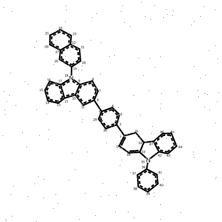 C1=C(c2ccc(-c3ccc4c(c3)c3ccccc3n4-c3ccc4ccccc4c3)cc2)CC2C(=C1)N(c1ccccc1)c1ccccc12